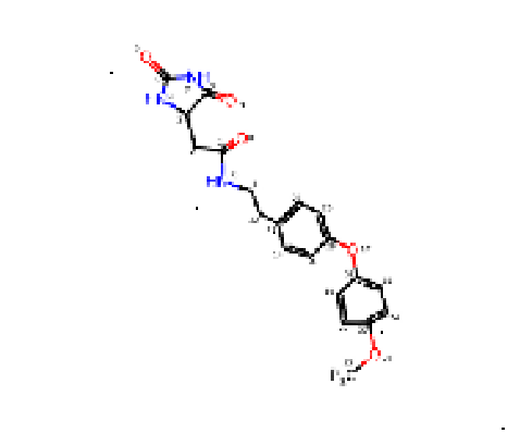 O=C(CC1NC(=O)NC1=O)NCCc1ccc(Oc2ccc(OC(F)(F)F)cc2)cc1